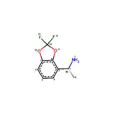 C[C@@H](N)c1cccc2c1OC(F)(F)O2